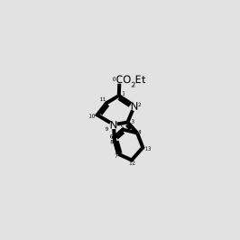 CCOC(=O)C1=NC2=C3C=CC(=CN2C=C1)CC3